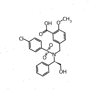 COc1ccc(CN([C@@H](CO)c2ccccc2)S(=O)(=O)c2ccc(Cl)cc2)cc1C(=O)O